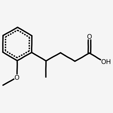 COc1ccccc1C(C)CCC(=O)O